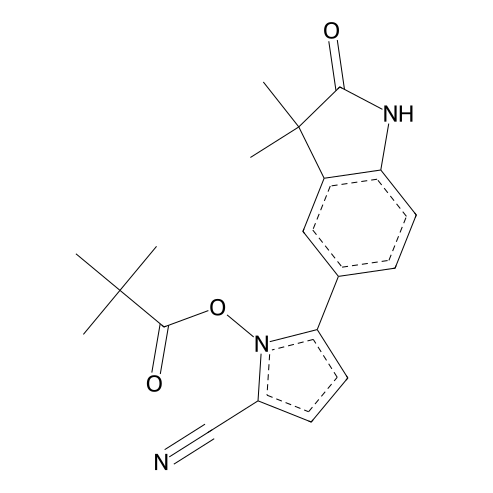 CC(C)(C)C(=O)On1c(C#N)ccc1-c1ccc2c(c1)C(C)(C)C(=O)N2